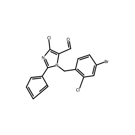 O=Cc1c(Cl)nc(-c2ccccc2)n1Cc1ccc(Br)cc1Cl